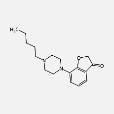 CCCCCN1CCN(c2cccc3c2OCC3=O)CC1